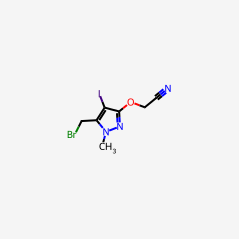 Cn1nc(OCC#N)c(I)c1CBr